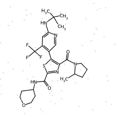 CC1CCCN1C(=O)c1nc(C(=O)NC2CCOCC2)sc1-c1cnc(NC(C)(C)C)cc1C(F)(F)F